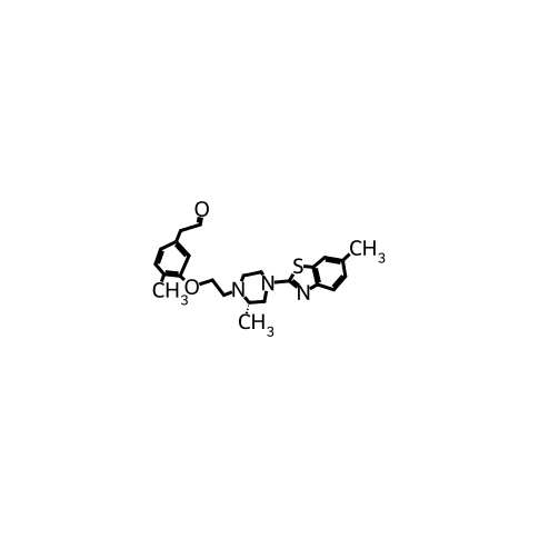 Cc1ccc2nc(N3CCN(CCOc4cc(CC=O)ccc4C)[C@@H](C)C3)sc2c1